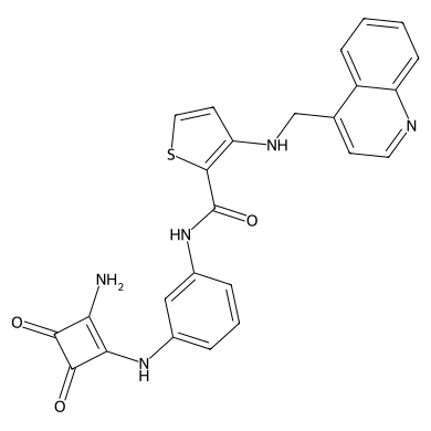 Nc1c(Nc2cccc(NC(=O)c3sccc3NCc3ccnc4ccccc34)c2)c(=O)c1=O